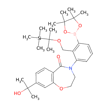 CC(C)(O)c1ccc2c(c1)OCCN(c1cccc(B3OC(C)(C)C(C)(C)O3)c1COC(C)(C)[Si](C)(C)C)C2=O